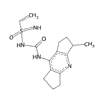 C=CS(=N)(=O)NC(=O)Nc1c2c(nc3c1CCC3C)CCC2